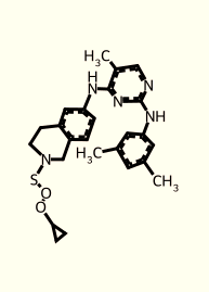 Cc1cc(C)cc(Nc2ncc(C)c(Nc3ccc4c(c3)CCN(SOOC3CC3)C4)n2)c1